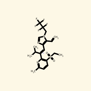 C=Cc1c(/C=C(/c2nc(C)ccc2S(=O)(=O)CC)C(C)C)ncn1CC(F)(F)C(F)(F)F